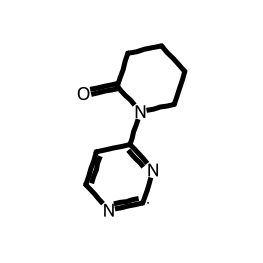 O=C1CCCCN1c1ccn[c]n1